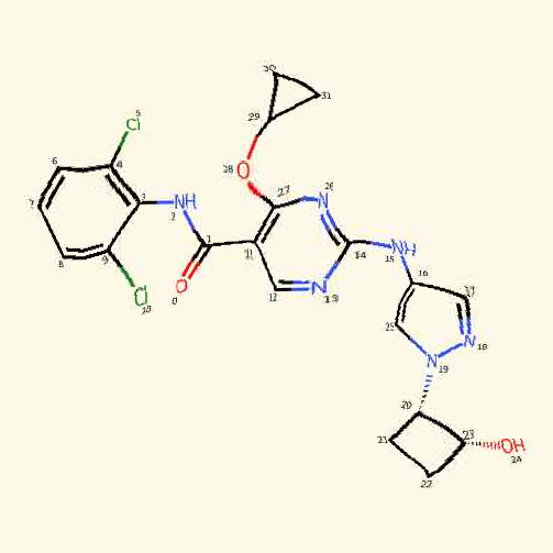 O=C(Nc1c(Cl)cccc1Cl)c1cnc(Nc2cnn([C@H]3CC[C@H]3O)c2)nc1OC1CC1